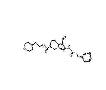 N#Cc1c(NC(=O)CCc2cccnc2)sc2c1CCN(C(=O)OCCN1CCOCC1)C2